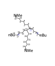 CCCC/C=C/C/C=C(/CCCCCCNC)C(CC/C=C/CCCC)CCCCCCNC